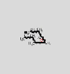 CC(=CC(O)CCCC(C)CCCC(C)CCCC(C)C)CCCC(C)CCCC(C)CCCC(C)C